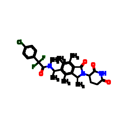 Bc1c(B)c(C(B)N(B)C(=O)C(F)(F)c2ccc(Cl)cc2)c(B)c2c1C(=O)N(C1CCC(=O)NC1=O)C2B